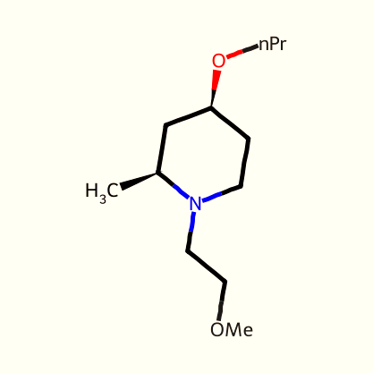 CCCO[C@H]1CCN(CCOC)[C@@H](C)C1